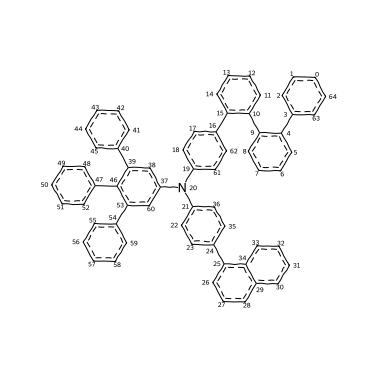 c1ccc(-c2ccccc2-c2ccccc2-c2ccc(N(c3ccc(-c4cccc5ccccc45)cc3)c3cc(-c4ccccc4)c(-c4ccccc4)c(-c4ccccc4)c3)cc2)cc1